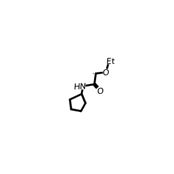 CCO[CH]C(=O)NC1CCCC1